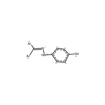 CC(=O)C(=NNc1ccc(S)cc1)C(C)=O